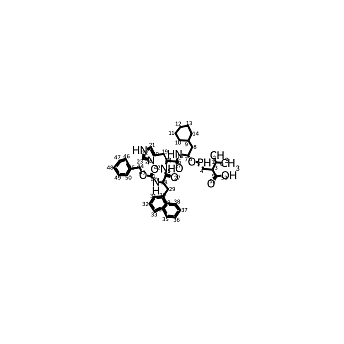 CC(C)C(CPOC(CC1CCCCC1)NC(=O)[C@H](Cc1c[nH]cn1)NC(=O)C(Cc1cccc2ccccc12)NC(=O)OCc1ccccc1)C(=O)O